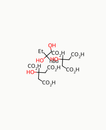 CCCCC(O)(CC)CO.O=C(O)CC(O)(CC(=O)O)C(=O)O.O=C(O)CC(O)(CC(=O)O)C(=O)O